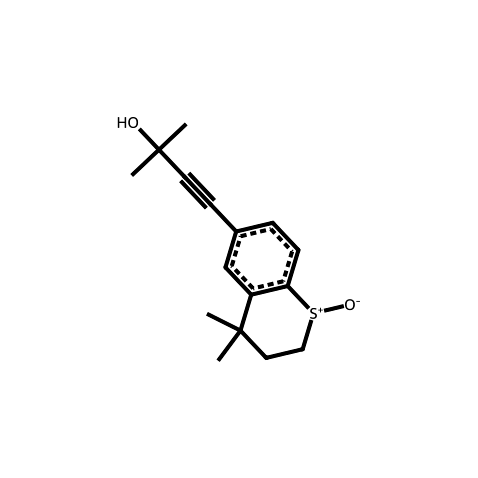 CC(C)(O)C#Cc1ccc2c(c1)C(C)(C)CC[S+]2[O-]